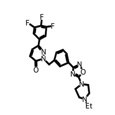 CCN1CCN(c2nc(-c3cccc(Cn4nc(-c5cc(F)c(F)c(F)c5)ccc4=O)c3)no2)CC1